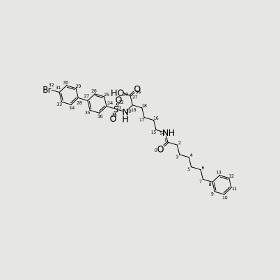 O=C(CCCCCCc1ccccc1)NCCCCC(NS(=O)(=O)c1ccc(-c2ccc(Br)cc2)cc1)C(=O)O